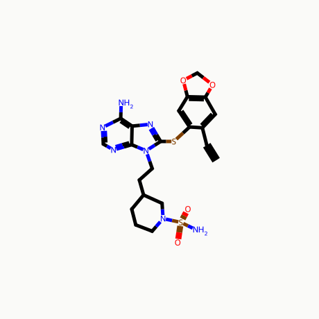 C#Cc1cc2c(cc1Sc1nc3c(N)ncnc3n1CCC1CCCN(S(N)(=O)=O)C1)OCO2